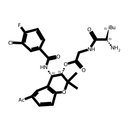 CC[C@H](C)[C@H](N)C(=O)NCC(=O)O[C@H]1[C@@H](NC(=O)c2ccc(F)c(Cl)c2)c2cc(C(C)=O)ccc2OC1(C)C